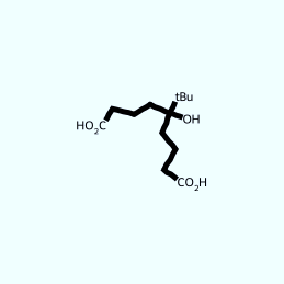 CC(C)(C)C(O)(CCCC(=O)O)CCCC(=O)O